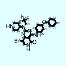 O=c1[nH]cc(Br)c2nc(N(CC(F)(F)F)C3CCNCC3)nc(Nc3ccc(Oc4ccccc4)cc3)c12